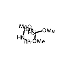 CCCNC(C)(C)C.CO[SiH](OC)OC